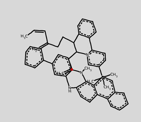 C=C(/C=C\C)CCC1c2ccccc2-c2ccc([Si](C)(C)C)c[n+]2C1CC(=C)N(C)c1c(Nc2cccc(-c3ccccc3)c2)ccc2c1ccc1ccccc12